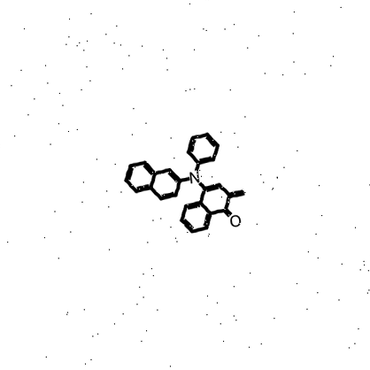 C=C1C=C(N(c2ccccc2)c2ccc3ccccc3c2)c2ccccc2C1=O